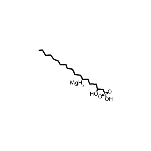 CCCCCCCCCCCCCCCCC(O)CS(=O)(=O)O.[MgH2]